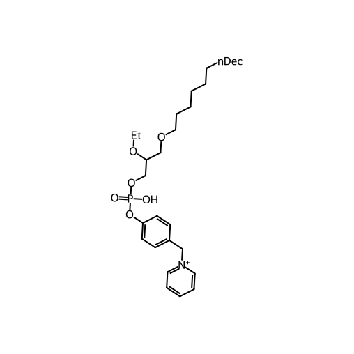 CCCCCCCCCCCCCCCCOCC(COP(=O)(O)Oc1ccc(C[n+]2ccccc2)cc1)OCC